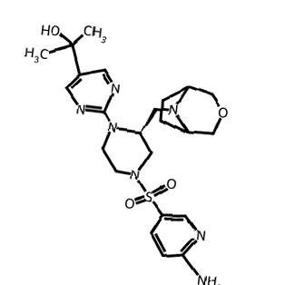 CC(C)(O)c1cnc(N2CCN(S(=O)(=O)c3ccc(N)nc3)C[C@@H]2CN2C3CCC2COC3)nc1